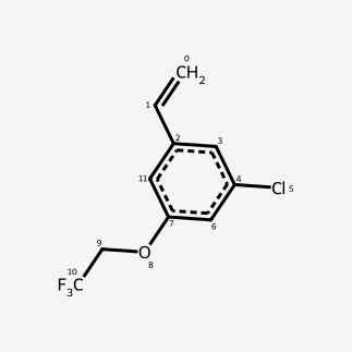 C=Cc1cc(Cl)cc(OCC(F)(F)F)c1